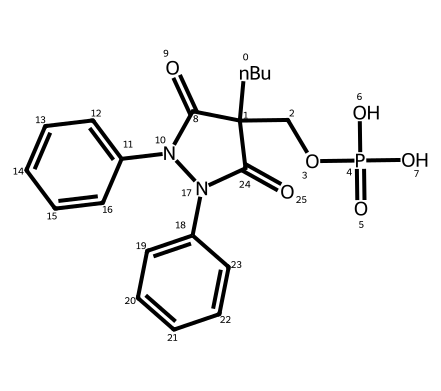 CCCCC1(COP(=O)(O)O)C(=O)N(c2ccccc2)N(c2ccccc2)C1=O